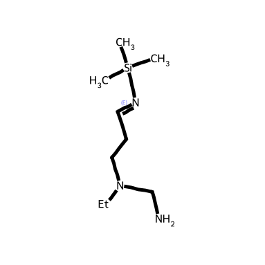 CCN(CN)CC/C=N/[Si](C)(C)C